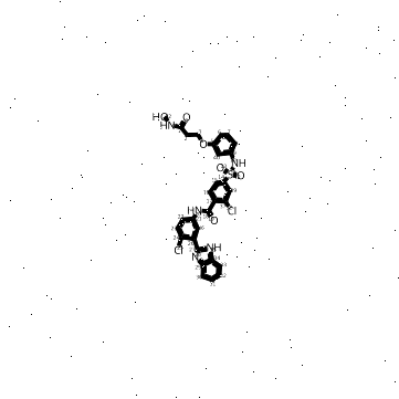 O=C(CCOc1cccc(NS(=O)(=O)c2ccc(C(=O)Nc3ccc(Cl)c(-c4nc5ccccc5[nH]4)c3)c(Cl)c2)c1)NO